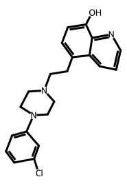 Oc1ccc(CCN2CCN(c3cccc(Cl)c3)CC2)c2cccnc12